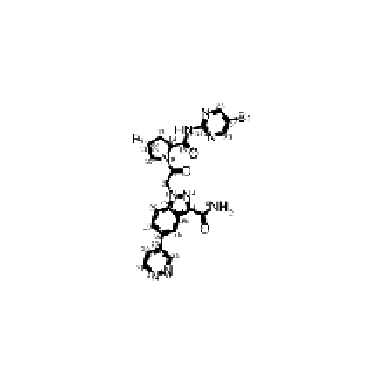 NC(=O)c1nn(CC(=O)N2C[C@H](F)C[C@H]2C(=O)Nc2ncc(Br)cn2)c2ccc(-c3ccnnc3)cc12